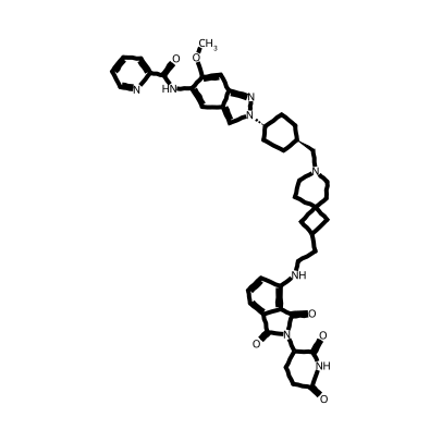 COc1cc2nn([C@H]3CC[C@H](CN4CCC5(CC4)CC(CCNc4cccc6c4C(=O)N(C4CCC(=O)NC4=O)C6=O)C5)CC3)cc2cc1NC(=O)c1ccccn1